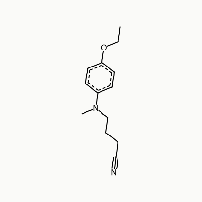 CCOc1ccc(N(C)CCCC#N)cc1